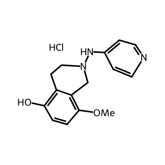 COc1ccc(O)c2c1CN(Nc1ccncc1)CC2.Cl